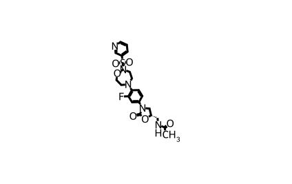 CC(=O)NC[C@H]1CN(c2ccc(N3CCON(S(=O)(=O)c4cccnc4)CC3)c(F)c2)C(=O)O1